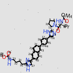 COC(=O)N[C@H](C(=O)N1CCC[C@H]1c1ncc(-c2ccc(-c3ccc4cc(-c5c[nH]c(CCCCNC(=O)OC(C)(C)C)n5)ccc4c3)cc2)[nH]1)C(C)C